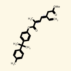 C=C/C(=C\C=C(/C)C(=O)Oc1ccc(C(C)(C)c2ccc(C)cc2)cc1)CC(=O)OC